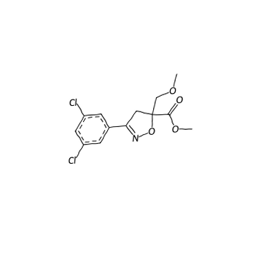 COCC1(C(=O)OC)CC(c2cc(Cl)cc(Cl)c2)=NO1